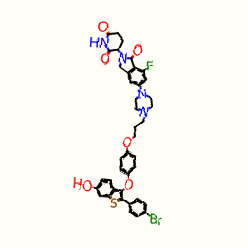 O=C1CCC(N2Cc3cc(N4CCN(CCCOc5ccc(Oc6c(-c7ccc(Br)cc7)sc7cc(O)ccc67)cc5)CC4)cc(F)c3C2=O)C(=O)N1